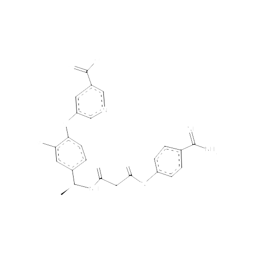 C[C@H](NC(=O)CC(=O)Nc1ccc(C(=N)N)cc1)c1ccc(Oc2cncc(C(=O)O)c2)c(Br)c1